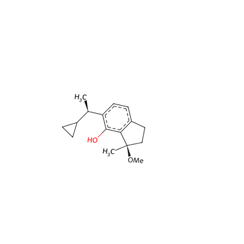 CO[C@]1(C)CCc2ccc([C@H](C)C3CC3)c(O)c21